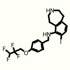 FC(F)C(F)(F)COc1ccc(CNc2c(I)ccc3c2CCNCC3)cc1